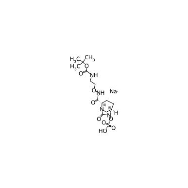 CC(C)(C)OC(=O)NCCONC(=O)[C@@H]1CC[C@@H]2CN1C(=O)N2OS(=O)(=O)O.[Na]